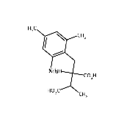 CC(=O)NC(Cc1c(C)cc(C)cc1C)(C(=O)O)C(C)C(=O)O